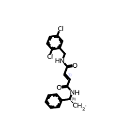 [CH2][C@@H](NC(=O)/C=C/C(=O)NCc1cc(Cl)ccc1Cl)c1ccccc1